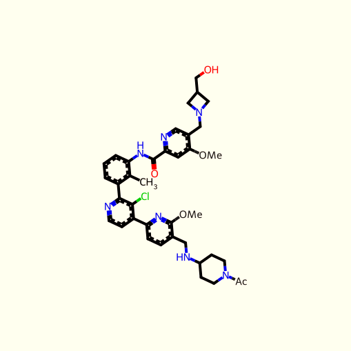 COc1cc(C(=O)Nc2cccc(-c3nccc(-c4ccc(CNC5CCN(C(C)=O)CC5)c(OC)n4)c3Cl)c2C)ncc1CN1CC(CO)C1